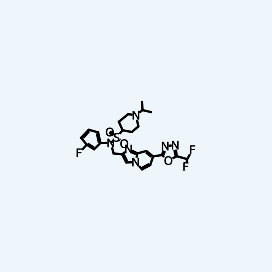 CC(C)N1CCC(S(=O)(=O)N(Cc2cn3ccc(-c4nnc(C(F)F)o4)cc3n2)c2cccc(F)c2)CC1